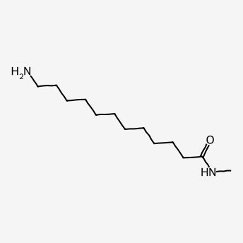 CNC(=O)CCCCCCCCCCCN